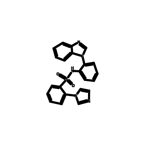 O=S(=O)(Nc1ccccc1-n1cnc2ccccc21)c1ccccc1-n1ccnc1